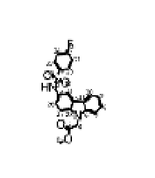 COC(=O)Cn1c2ccccc2c2cc(NS(=O)(=O)c3ccc(F)cc3)ccc21